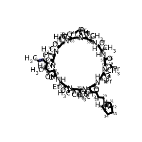 C/C=C/C[C@@H](C)[C@@H](O)[C@H]1C(=O)N[C@@H](CC)C(=O)N(C)[C@H](C)C(=O)N(C)[C@@H]([C@H](C)CCCN2CC3CCC(C2)N3C)C(=O)N[C@@H](C(C)C)C(=O)N(C)[C@@H](CC(C)C)C(=O)N[C@@H](C)C(=O)N[C@H](C)C(=O)N(C)[C@@H](CC(C)C)C(=O)N(C)[C@@H](CC(C)C)C(=O)N(C)[C@@H](C(C)C)C(=O)N1C